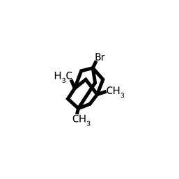 CC12CC3(C)CC(C)(C1)CC(Br)(C2)C3